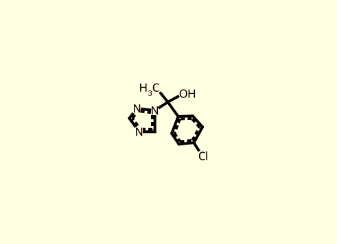 CC(O)(c1ccc(Cl)cc1)n1cncn1